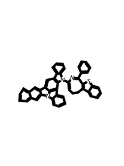 C1=C(n2c3ccccc3c3cc4c5cc6ccccc6cc5n5c6ccccc6c(c32)c45)\N=C(\c2ccccc2)c2sc3ccccc3c2CC/1